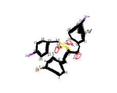 O=C(/C(=C/c1ccc(Br)cc1)S(=O)(=O)Cc1ccc(I)cc1)c1ccc(I)cc1